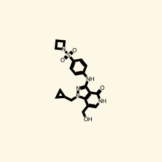 O=c1[nH]cc(CO)c2c1c(Nc1ccc(S(=O)(=O)N3CCC3)cc1)nn2CC1CC1